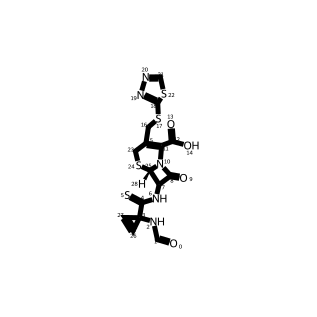 O=CNC1(C(=S)NC2C(=O)N3C(C(=O)O)=C(CSc4nncs4)CS[C@@H]23)C#C1